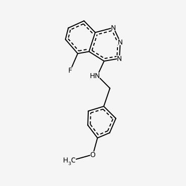 COc1ccc(CNc2nnnc3cccc(F)c23)cc1